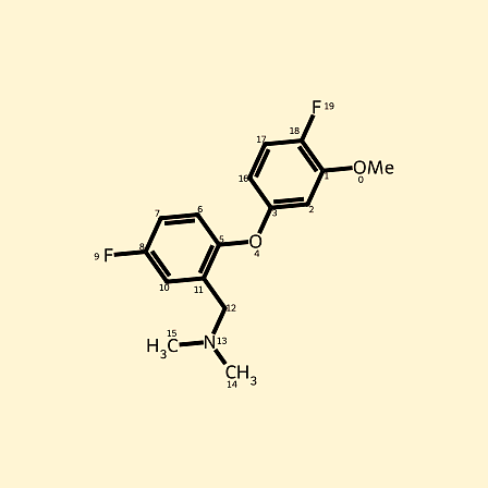 COc1cc(Oc2ccc(F)cc2CN(C)C)ccc1F